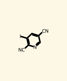 N#Cc1cnc(C#N)c(I)c1